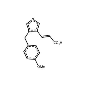 COc1ccc(Cn2cncc2C=CC(=O)O)cc1